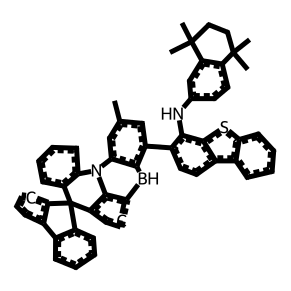 Cc1cc(-c2ccc3c(sc4ccccc43)c2Nc2ccc3c(c2)C(C)(C)CCC3(C)C)c2c(c1)N1c3ccccc3C3(c4ccccc4-c4ccccc43)c3cccc(c31)B2